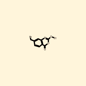 CCOc1nc2cc(CBr)ccc2c(=O)o1